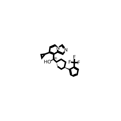 O[C@@H](c1c(C2CC2)ccn2cncc12)[C@H]1CC[C@H](c2ccccc2C(F)(F)F)CC1